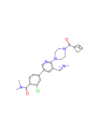 C/N=C/c1cc(-c2ccc(C(=O)N(C)C)c(Cl)c2)cnc1N1CCN(C(=O)C23CC(C2)C3)CC1